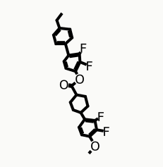 CCc1ccc(-c2ccc(OC(=O)C3CCC(c4ccc(OC)c(F)c4F)CC3)c(F)c2F)cc1